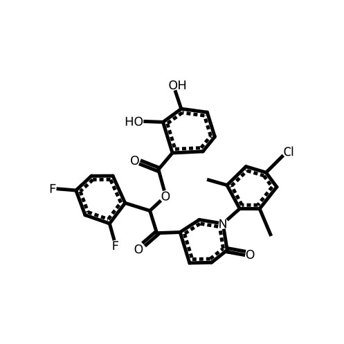 Cc1cc(Cl)cc(C)c1-n1cc(C(=O)C(OC(=O)c2cccc(O)c2O)c2ccc(F)cc2F)ccc1=O